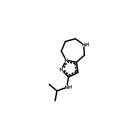 CC(C)Nc1cc2n(n1)CCCNC2